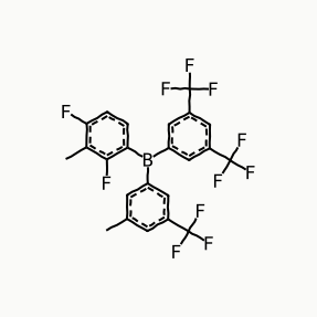 Cc1cc(B(c2cc(C(F)(F)F)cc(C(F)(F)F)c2)c2ccc(F)c(C)c2F)cc(C(F)(F)F)c1